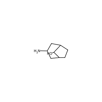 NC1CC2CCC(C1)C2O